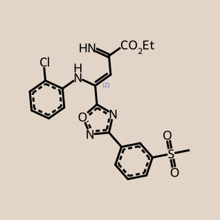 CCOC(=O)C(=N)/C=C(\Nc1ccccc1Cl)c1nc(-c2cccc(S(C)(=O)=O)c2)no1